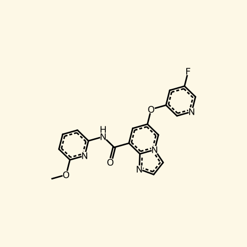 COc1cccc(NC(=O)c2cc(Oc3cncc(F)c3)cn3ccnc23)n1